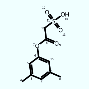 Cc1cc(C)cc(OC(=O)CS(=O)(=O)O)c1